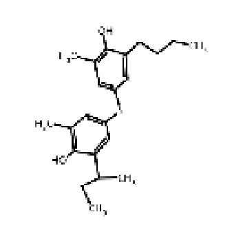 CCCCc1cc(Sc2cc(C)c(O)c(C(C)CC)c2)cc(C)c1O